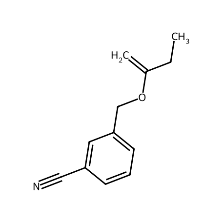 C=C(CC)OCc1cccc(C#N)c1